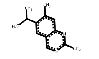 Cc1ncc2cc(C(C)C)c(C)cc2n1